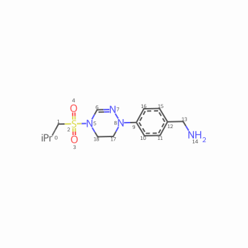 CC(C)CS(=O)(=O)N1C=NN(c2ccc(CN)cc2)CC1